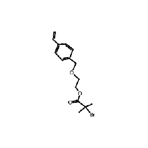 C=Cc1ccc(COCCOC(=O)C(C)(C)Br)cc1